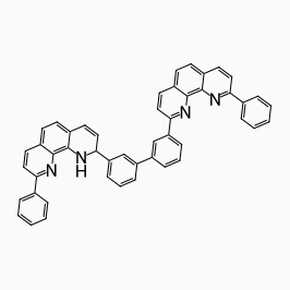 C1=CC(c2cccc(-c3cccc(-c4ccc5ccc6ccc(-c7ccccc7)nc6c5n4)c3)c2)Nc2c1ccc1ccc(-c3ccccc3)nc21